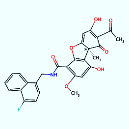 COc1cc(O)c2c(c1C(=O)NCc1ccc(F)c3ccccc13)OC1=CC(O)=C(C(C)=O)C(=O)[C@]12C